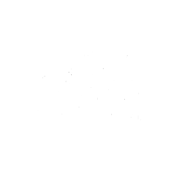 COc1cc(CC2c3ccccc3OC2C(C)C)c2ccc(C)c(F)c2n1